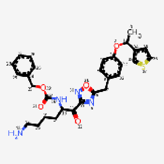 CC(Oc1ccc(Cc2nc(C(=O)C(CCCCN)NC(=O)OCc3ccccc3)no2)cc1)c1ccsc1